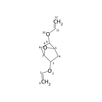 C=COC1CC2OC1CC2OC=C